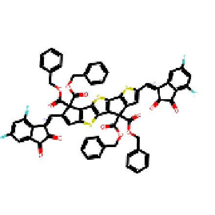 O=C1C(=O)c2c(F)cc(F)cc2/C1=C/c1cc2c(s1)-c1sc3c4c(sc3c1C2(C(=O)OCc1ccccc1)C(=O)OCc1ccccc1)C=C(/C=C1\C(=O)C(=O)c2cc(F)cc(F)c21)C4(C(=O)OCc1ccccc1)C(=O)OCc1ccccc1